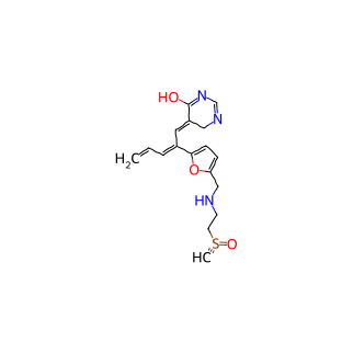 C#S(=O)CCNCc1ccc(C(/C=C2\CN=CN=C2O)=C/C=C)o1